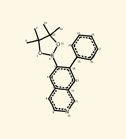 CC1(C)OB(c2cc3ccncc3cc2-c2ccccc2)OC1(C)C